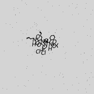 C=CCCNC(=O)C(=O)C(CCC=C)NC(=O)[C@@H]1C2C(CN1C(=O)C(NC(=O)OC(C)C)C1CCCCC1)C2(Cl)Cl